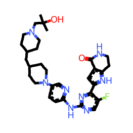 CC(C)(O)CN1CCC(CC2CCN(c3ccc(Nc4ncc(F)c(-c5cc6c([nH]5)CCNC6=O)n4)nc3)CC2)CC1